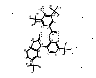 CC(C)(C)c1ccc(C2C(=O)Oc3ccc(C(C)(C)C)cc32)c(OC(=O)c2cc(C(C)(C)C)c(O)c(C(C)(C)C)c2)c1